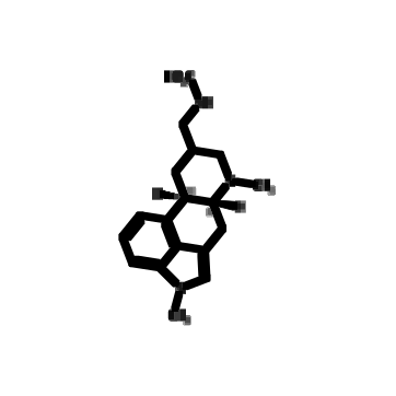 CN1CC(CNC(=O)O)C[C@@H]2c3cccc4c3c(cn4C)C[C@H]21